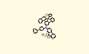 CC1(C)c2ccccc2-c2ccc(N(c3ccc(-c4ccccc4)cc3)c3ccc4c(c3)-c3ccccc3C43c4ccccc4Oc4cc5ccccc5cc43)cc21